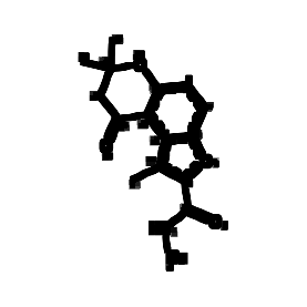 CCC(C)NC(=O)c1oc2ccc3c(c2c1C)C(=O)CC(C)(C)O3